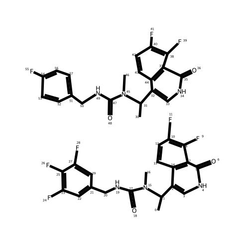 CC(c1c[nH]c(=O)c2c(F)c(F)ccc12)N(C)C(=O)NCc1cc(F)c(F)c(F)c1.CC(c1c[nH]c(=O)c2c(F)c(F)ccc12)N(C)C(=O)NCc1ccc(F)cc1